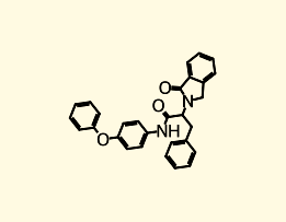 O=C(Nc1ccc(Oc2ccccc2)cc1)C(Cc1ccccc1)N1Cc2ccccc2C1=O